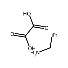 CC(C)CN.O=C(O)C(=O)O